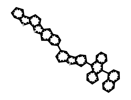 c1ccc2c(-c3c4ccccc4c(-c4ccc5c(c4)sc4ccc(-c6ccc7cc8c(cc7c6)sc6c8ccc7c8ccccc8sc76)cc45)c4ccccc34)cccc2c1